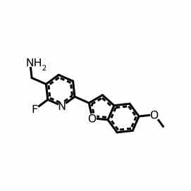 COc1ccc2oc(-c3ccc(CN)c(F)n3)cc2c1